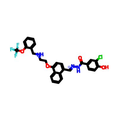 O=C(N/N=C/c1ccc(OCCNCc2ccccc2OC(F)(F)F)c2ccccc12)c1ccc(O)c(Cl)c1